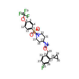 O=S(=O)(c1ccc(OC(F)(F)F)cc1)N1CCC(=NOCc2ccc(F)cc2C2CC2)CC1